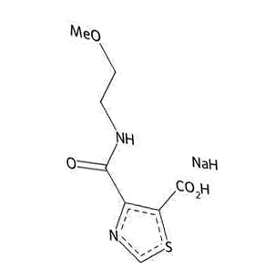 COCCNC(=O)c1ncsc1C(=O)O.[NaH]